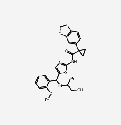 CCOc1ccccc1C(NC(CO)C(C)C)c1cnc(NC(=O)C2(c3ccc4c(c3)OCO4)CC2)s1